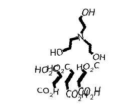 O=C(O)C=CC(=O)O.O=C(O)C=CC(=O)O.O=C(O)C=CC(=O)O.OCCN(CCO)CCO